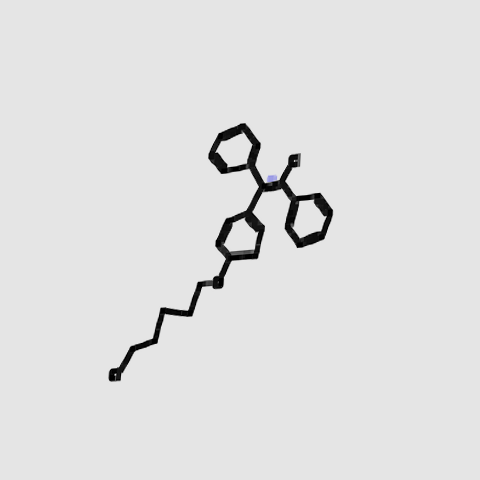 ClCCCCCOc1ccc(/C(=C(/Cl)c2ccccc2)c2ccccc2)cc1